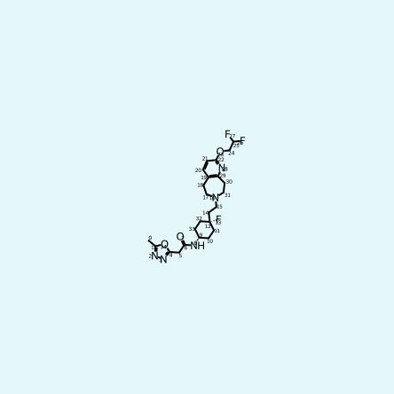 Cc1nnc(CC(=O)N[C@H]2CC[C@](F)(CCN3CCc4ccc(OCC(F)F)nc4CC3)CC2)o1